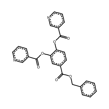 O=C(OCc1ccccc1)c1ccc(OC(=O)c2cccnc2)c(OC(=O)c2cccnc2)c1